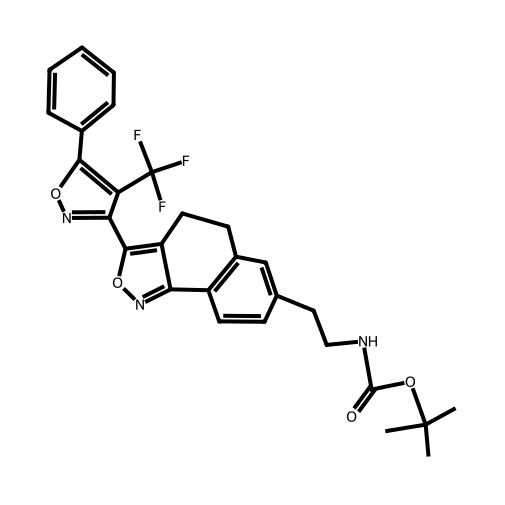 CC(C)(C)OC(=O)NCCc1ccc2c(c1)CCc1c-2noc1-c1noc(-c2ccccc2)c1C(F)(F)F